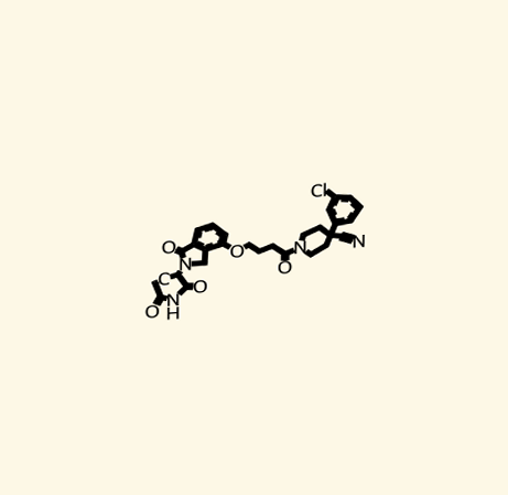 N#CC1(c2cccc(Cl)c2)CCN(C(=O)CCCOc2cccc3c2CN(C2CCC(=O)NC2=O)C3=O)CC1